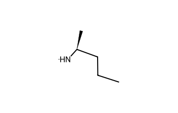 CCC[C@H](C)[NH]